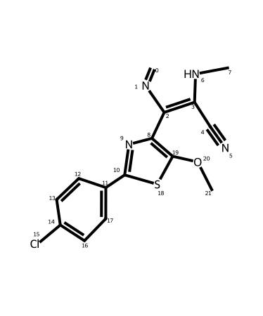 C=N/C(=C(/C#N)NC)c1nc(-c2ccc(Cl)cc2)sc1OC